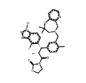 CCn1nnc2c(F)c([C@H](c3ccc(C)c(CN4Cc5ncccc5OC(C)(C)C4)c3)[C@@H](C)C(=O)N3CCOC3=O)ccc21